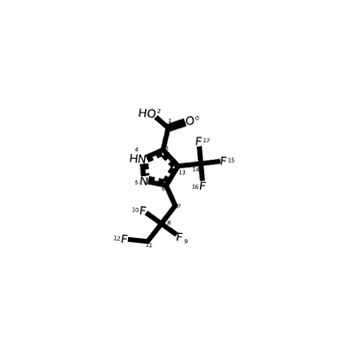 O=C(O)c1[nH]nc(CC(F)(F)CF)c1C(F)(F)F